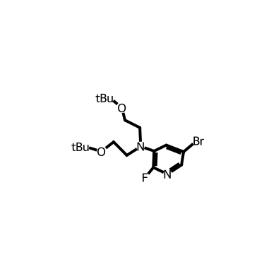 CC(C)(C)OCCN(CCOC(C)(C)C)c1cc(Br)cnc1F